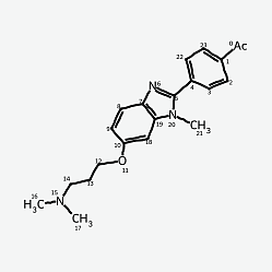 CC(=O)c1ccc(-c2nc3ccc(OCCCN(C)C)cc3n2C)cc1